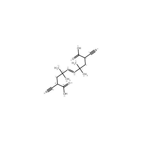 CC(C)(CC(C#N)C(=O)O)/N=N/C(C)(C)CC(C#N)C(=O)O